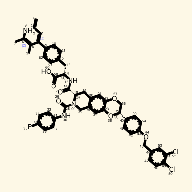 C=C/C=C(\C(C)=C(\C)N)c1ccc(C[C@H](NC(=O)[C@@H]2Cc3cc4c(cc3CN2C(=O)Nc2ccc(F)cc2)O[C@@H](c2ccc(OCc3ccc(Cl)c(Cl)c3)cc2)CO4)C(=O)O)cc1